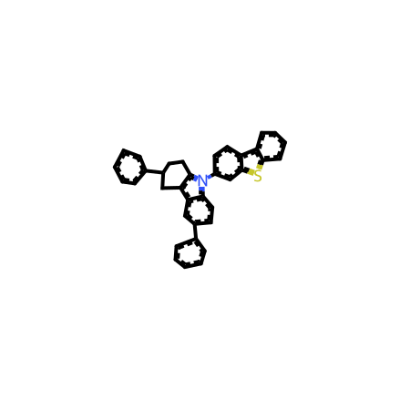 c1ccc(-c2ccc3c(c2)c2c(n3-c3ccc4c(c3)sc3ccccc34)CCC(c3ccccc3)C2)cc1